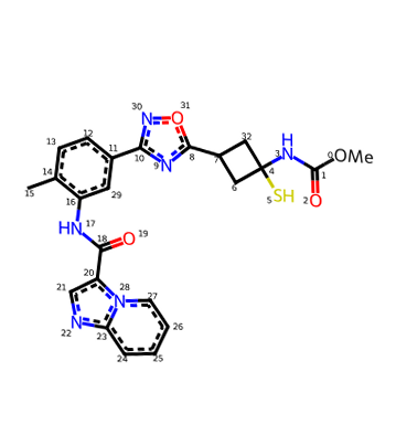 COC(=O)NC1(S)CC(c2nc(-c3ccc(C)c(NC(=O)c4cnc5ccccn45)c3)no2)C1